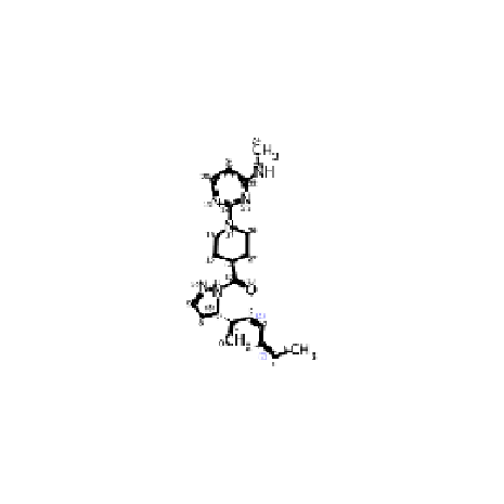 C=C(/C=C\C=C/C)[C@@H]1CC=NN1C(=O)C1CCN(c2nccc(NC)n2)CC1